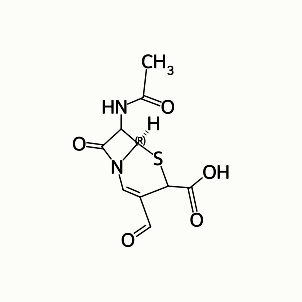 CC(=O)NC1C(=O)N2C=C(C=O)C(C(=O)O)S[C@H]12